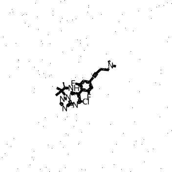 C[C@@H](Nc1c(-c2c(F)cc(C#CCCN(C)C)cc2F)c(Cl)nc2ncnn12)C(C)(C)C